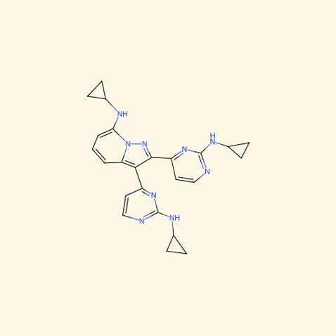 c1cc(NC2CC2)n2nc(-c3ccnc(NC4CC4)n3)c(-c3ccnc(NC4CC4)n3)c2c1